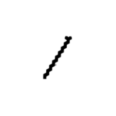 CCCCCC[CH]CCCCCCCCCCC(C)C